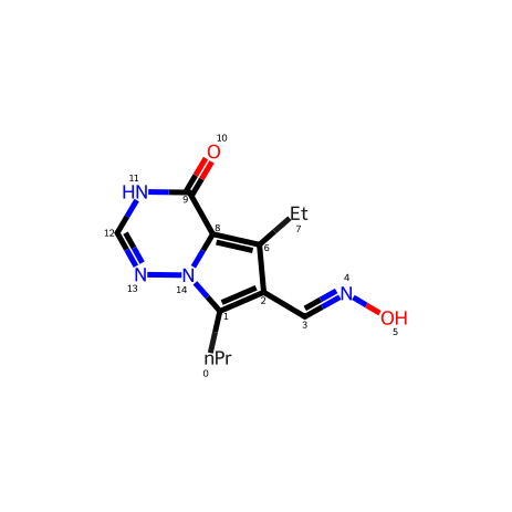 CCCc1c(C=NO)c(CC)c2c(=O)[nH]cnn12